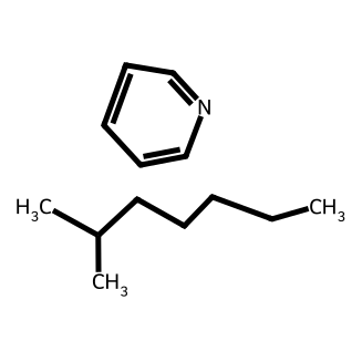 CCCCCC(C)C.c1ccncc1